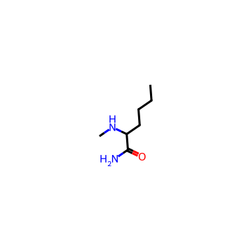 CCCCC(NC)C(N)=O